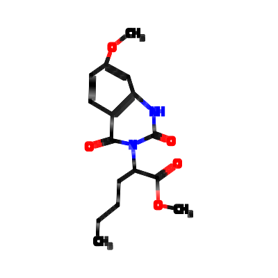 CCCCC(C(=O)OC)n1c(=O)[nH]c2cc(OC)ccc2c1=O